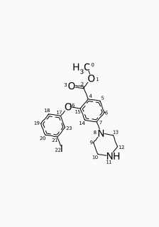 COC(=O)c1ccc(N2CCNCC2)cc1Oc1cccc(I)c1